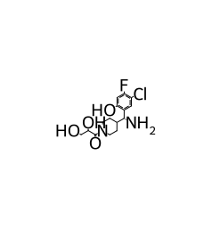 N[C@@H](c1cc(Cl)c(F)cc1O)C1CCN(C(=O)[C@H](O)CO)CC1